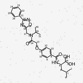 CC(C)CC(NC(=O)c1ccc(OCC(=O)N(Cc2nc(-c3ccccc3)no2)C(C)C)cc1)C(O)O